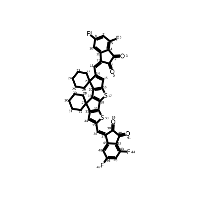 O=C1C(=O)c2c(F)cc(F)cc2/C1=C/C1=Cc2sc3c(c2C12CCCCC2)C1(CCCCC1)c1cc(/C=C2\C(=O)C(=O)c4c(F)cc(F)cc42)sc1-3